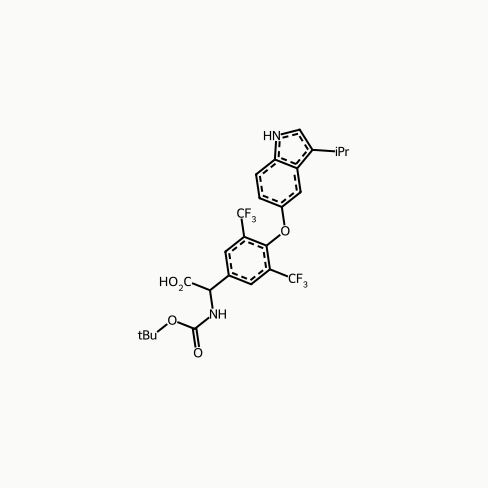 CC(C)c1c[nH]c2ccc(Oc3c(C(F)(F)F)cc(C(NC(=O)OC(C)(C)C)C(=O)O)cc3C(F)(F)F)cc12